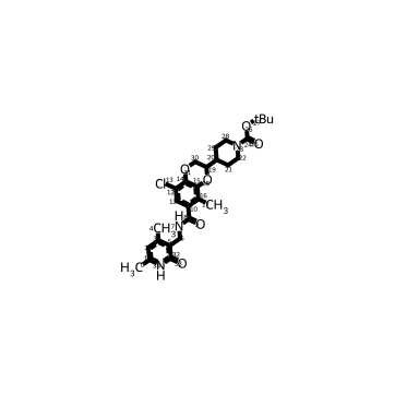 Cc1cc(C)c(CNC(=O)c2cc(Cl)c3c(c2C)OC(C2CCN(C(=O)OC(C)(C)C)CC2)CO3)c(=O)[nH]1